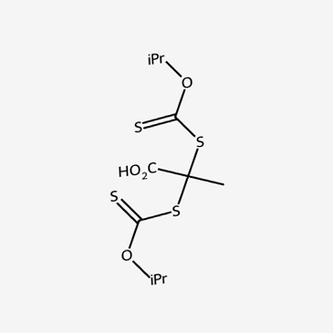 CC(C)OC(=S)SC(C)(SC(=S)OC(C)C)C(=O)O